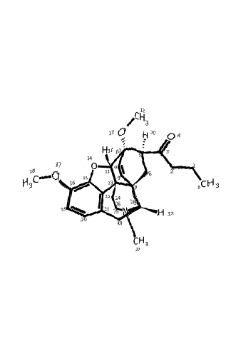 CCCC(=O)[C@H]1C[C@]23C=C[C@@]1(OC)[C@H]1Oc4c(OC)ccc5c4[C@]12CCN(C)[C@H]3C5